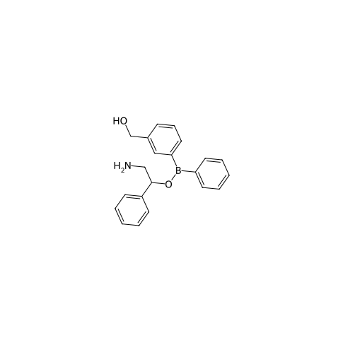 NCC(OB(c1ccccc1)c1cccc(CO)c1)c1ccccc1